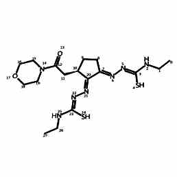 CCN/C(S)=N/N=C1\CC[C@H](CC(=O)N2CCOCC2)\C1=N/N=C(\S)NCC